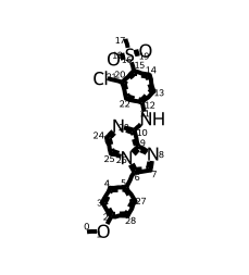 COc1ccc(-c2cnc3c(Nc4ccc(S(C)(=O)=O)c(Cl)c4)nccn23)cc1